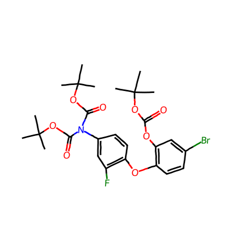 CC(C)(C)OC(=O)Oc1cc(Br)ccc1Oc1ccc(N(C(=O)OC(C)(C)C)C(=O)OC(C)(C)C)cc1F